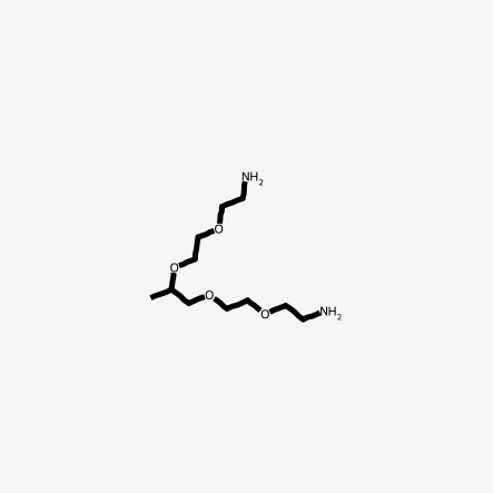 CC(COCCOCCN)OCCOCCN